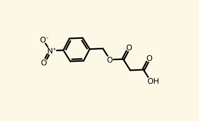 O=C(O)CC(=O)OCc1ccc([N+](=O)[O-])cc1